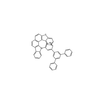 c1ccc(-c2cc(-c3ccccc3)cc(-c3cncc(-n4c5ccccc5c5ccc6ccc7sc8ccccc8c7c6c54)c3)c2)cc1